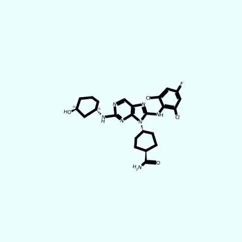 NC(=O)[C@H]1CC[C@H](n2c(Nc3c(Cl)cc(F)cc3Cl)nc3cnc(N[C@H]4CCC[C@H](O)C4)nc32)CC1